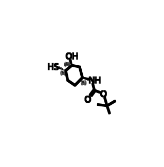 CC(C)(C)OC(=O)N[C@H]1CC[C@H](S)[C@@H](O)C1